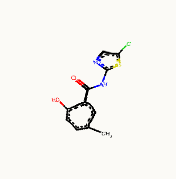 Cc1ccc(O)c(C(=O)Nc2ncc(Cl)s2)c1